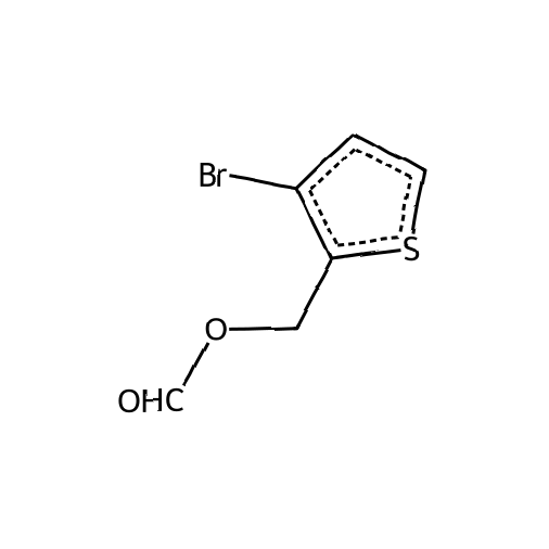 O=COCc1sccc1Br